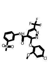 COc1cc(Cl)ccc1Oc1nnc(C(F)(F)F)cc1C(=O)Nc1cccc(S(C)(=O)=O)c1